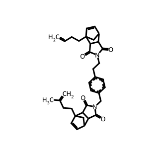 C=CCCC12C=CC(C1)C1C(=O)N(CCc3ccc(CN4C(=O)C5C6C=CC(CCC(=C)C)(C6)C5C4=O)cc3)C(=O)C12